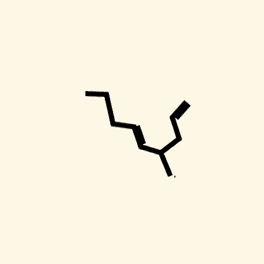 [CH2]C(C=CCCC)CC=C